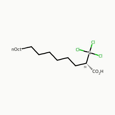 CCCCCCCCCCCCCC[C@@H](C(=O)O)[Si](Cl)(Cl)Cl